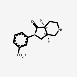 O=C(O)c1cccc(N2C[C@@H]3CNCC[C@]3(F)C2=O)c1